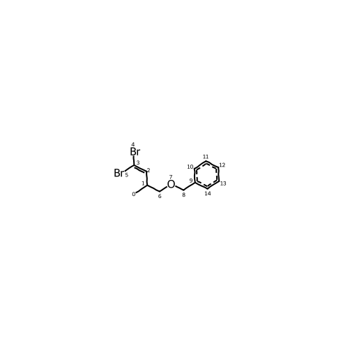 CC(C=C(Br)Br)COCc1ccccc1